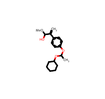 C=C(c1ccc(OC(C)OC2CCCCC2)cc1)C(O)OC